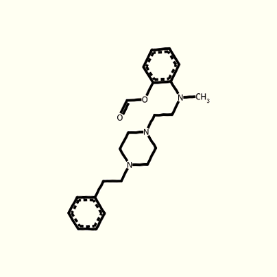 CN(CCN1CCN(CCc2ccccc2)CC1)c1ccccc1OC=O